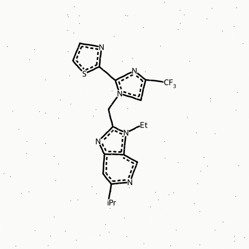 CCn1c(Cn2cc(C(F)(F)F)nc2-c2nccs2)nc2cc(C(C)C)ncc21